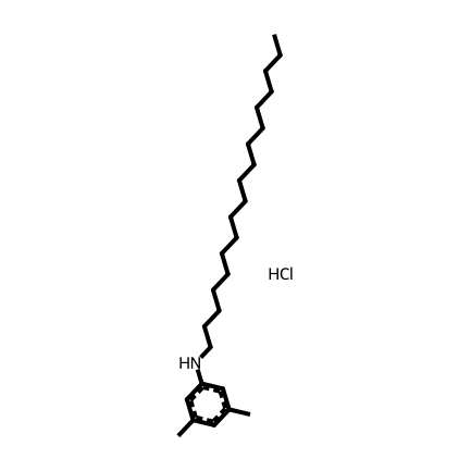 CCCCCCCCCCCCCCCCCCNc1cc(C)cc(C)c1.Cl